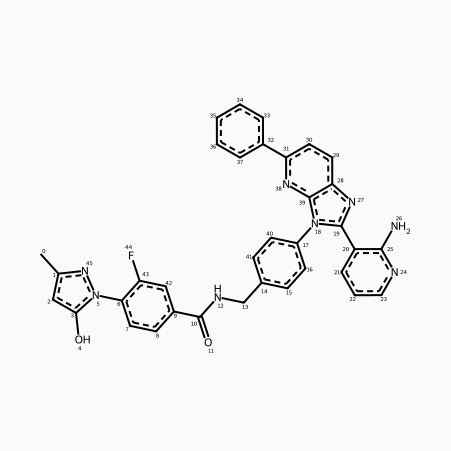 Cc1cc(O)n(-c2ccc(C(=O)NCc3ccc(-n4c(-c5cccnc5N)nc5ccc(-c6ccccc6)nc54)cc3)cc2F)n1